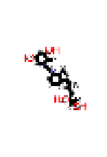 C=C1/C(=C\C=C2/CCC[C@@]3(C)C2CC[C@@H]3[C@H](C)CCC(O)C(C)(C)O)C[C@@H](O)CC1O